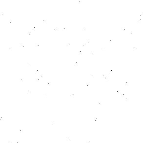 CC(C)c1ccc(C(=O)N2CCC2)cc1F